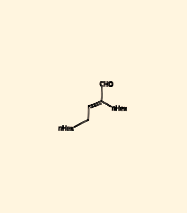 CCCCCCC/C=C(/C=O)CCCCCC